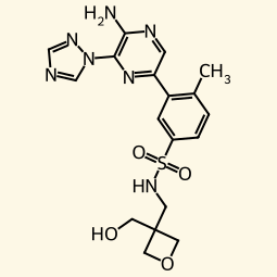 Cc1ccc(S(=O)(=O)NCC2(CO)COC2)cc1-c1cnc(N)c(-n2cncn2)n1